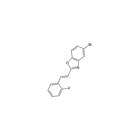 Fc1ccccc1C=Cc1nc2cc(Br)ccc2o1